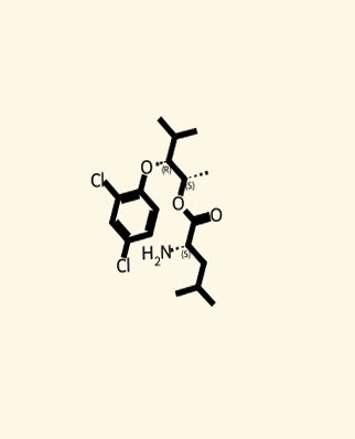 CC(C)C[C@H](N)C(=O)O[C@@H](C)[C@H](Oc1ccc(Cl)cc1Cl)C(C)C